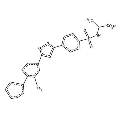 CC(NS(=O)(=O)c1ccc(-c2cc(-c3ccc(-c4ccccc4)c(C(F)(F)F)c3)on2)cc1)C(=O)O